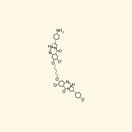 COc1ccc(C2=CN3C(=O)c4cc(OC)c(OCCCCCOc5cc6c(cc5OC)C(=O)N5C=C(c7ccc(N)cc7)C[C@H]5C=N6)cc4N=C[C@@H]3C2)cc1